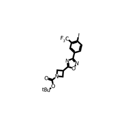 CC(C)(C)OC(=O)N1CC(c2nc(-c3ccc(I)c(C(F)(F)F)c3)no2)C1